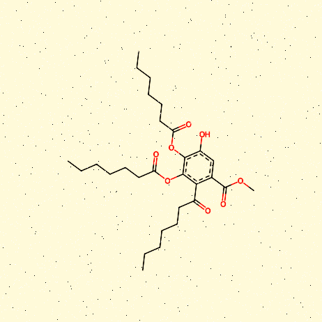 CCCCCCC(=O)Oc1c(O)cc(C(=O)OC)c(C(=O)CCCCCC)c1OC(=O)CCCCCC